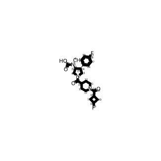 CN(C(=O)O)[C@@H]1CN(C(=O)C2CCN(C(=O)C3CC(F)C3)CC2)C[C@H]1c1ccc(F)cc1